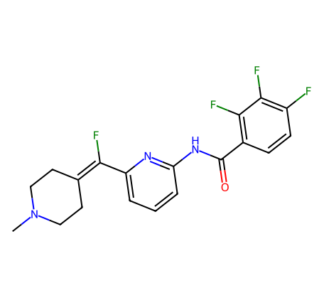 CN1CCC(=C(F)c2cccc(NC(=O)c3ccc(F)c(F)c3F)n2)CC1